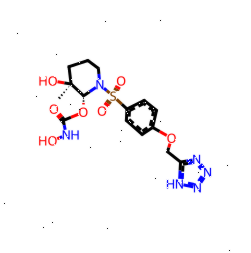 C[C@]1(O)CCCN(S(=O)(=O)c2ccc(OCc3nnn[nH]3)cc2)[C@@H]1OC(=O)NO